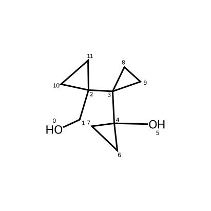 OCC1(C2(C3(O)CC3)CC2)CC1